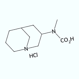 CN(C(=O)O)C1CC2CCCN(C2)C1.Cl